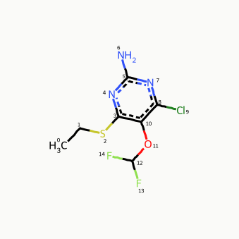 CCSc1nc(N)nc(Cl)c1OC(F)F